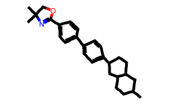 CC1CCC2CC(c3ccc(-c4ccc(C5=NC(C)(C)CO5)cc4)cc3)CCC2C1